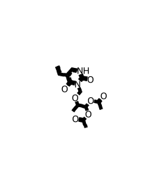 C=Cc1c[nH]c(=O)n(COC(C)C(OC(C)=O)OC(C)=O)c1=O